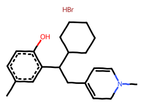 Br.Cc1ccc(O)c(C(CC2=CCN(C)C=C2)C2CCCCC2)c1